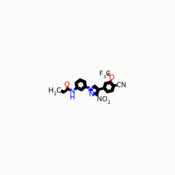 C=CC(=O)Nc1cccc(-n2cc(-c3ccc(C#N)c(OC(F)(F)F)c3)c([N+](=O)[O-])n2)c1